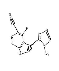 Cn1cncc1-c1c[nH]c2ccc(C#N)c(F)c12